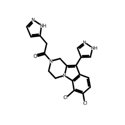 O=C(Cc1ccn[nH]1)N1CCn2c(c(-c3cn[nH]c3)c3ccc(Cl)c(Cl)c32)C1